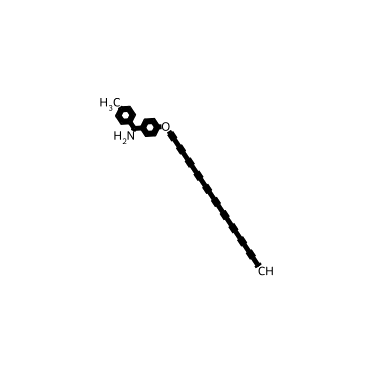 C#CC#CC#CC#CC#CC#CC#CC#CC#CC#CC#COc1ccc(C(N)c2ccc(C)cc2)cc1